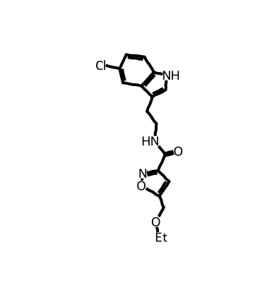 CCOCc1cc(C(=O)NCCc2c[nH]c3ccc(Cl)cc23)no1